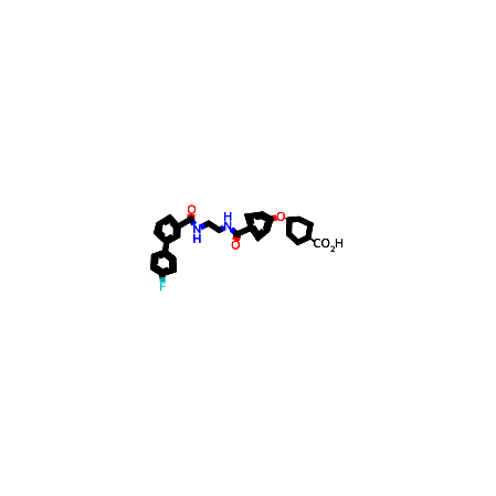 O=C(NCCNC(=O)c1cccc(-c2ccc(F)cc2)c1)c1ccc(O[C@H]2CC[C@@H](C(=O)O)CC2)cc1